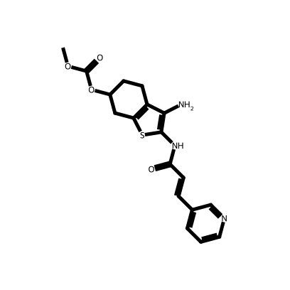 COC(=O)OC1CCc2c(sc(NC(=O)/C=C/c3cccnc3)c2N)C1